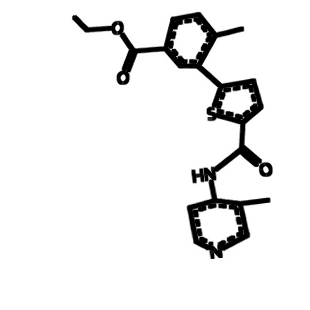 CCOC(=O)c1ccc(C)c(-c2ccc(C(=O)Nc3ccncc3C)s2)c1